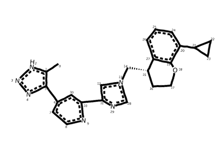 Cc1[nH]nnc1-c1ccnc(-c2cn(C[C@H]3CCOc4c(C5CC5)cccc43)cn2)c1